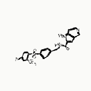 O=C(NCc1ccc(S(=O)(=O)c2ccc(F)cc2C(F)(F)F)cc1)c1cc2cnccc2[nH]1